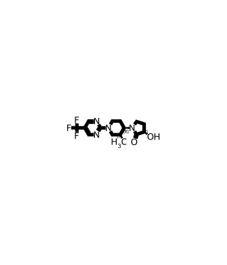 C[C@H]1CN(c2ncc(C(F)(F)F)cn2)CC[C@H]1N1CC[C@@H](O)C1=O